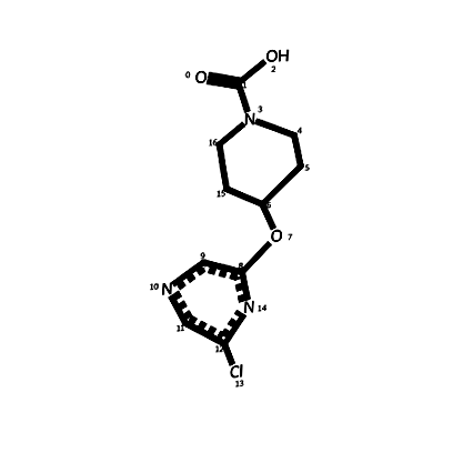 O=C(O)N1CCC(Oc2cncc(Cl)n2)CC1